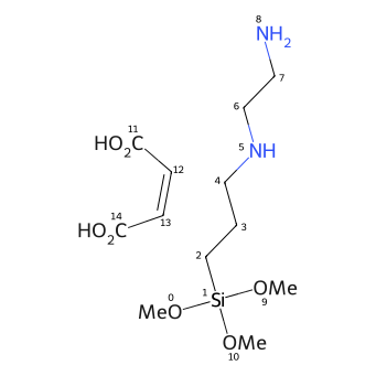 CO[Si](CCCNCCN)(OC)OC.O=C(O)/C=C\C(=O)O